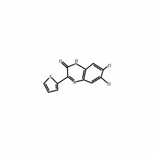 O=c1[nH]c2cc(Cl)c(Cl)cc2nc1-c1cccs1